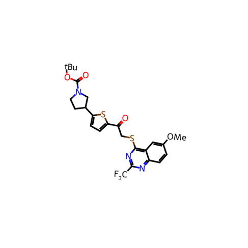 COc1ccc2nc(C(F)(F)F)nc(SCC(=O)c3ccc(C4CCN(C(=O)OC(C)(C)C)C4)s3)c2c1